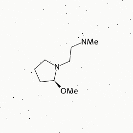 CNCCN1CCC[C@@H]1OC